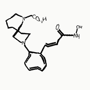 O=C(/C=C/c1ccccc1N1CC2(CCCN2C(=O)O)C1)NO